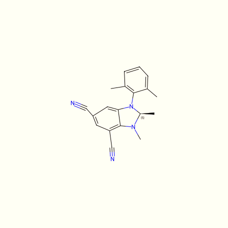 Cc1cccc(C)c1N1c2cc(C#N)cc(C#N)c2N(C)[C@@H]1C